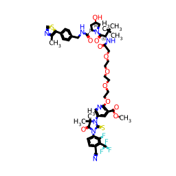 COC(=O)c1cc(N2C(=S)N(c3ccc(C#N)c(C(F)(F)F)c3F)C(=O)C2(C)C)cnc1OCCOCCOCCOCC(=O)N[C@H](C(=O)N1C[C@H](O)C[C@H]1C(=O)NCc1ccc(-c2scnc2C)cc1)C(C)(C)C